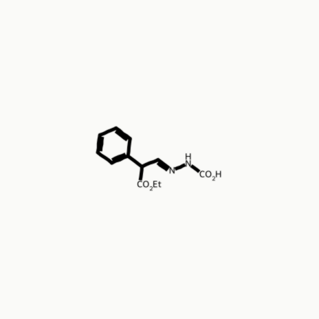 CCOC(=O)C(C=NNC(=O)O)c1ccccc1